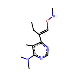 CC/C(=C\ONC)c1ncnc(N(C)C)c1C